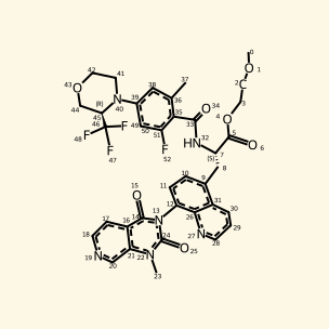 COCCOC(=O)[C@H](Cc1ccc(-n2c(=O)c3ccncc3n(C)c2=O)c2ncccc12)NC(=O)c1c(C)cc(N2CCOC[C@@H]2C(F)(F)F)cc1F